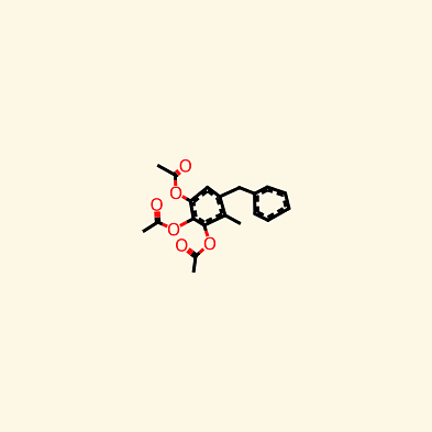 CC(=O)Oc1cc(Cc2ccccc2)c(C)c(OC(C)=O)c1OC(C)=O